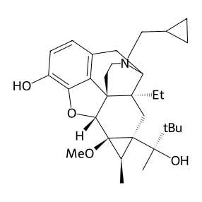 CC[C@]12C[C@]3([C@](C)(O)C(C)(C)C)[C@@H](C)[C@]3(OC)[C@@H]3Oc4c(O)ccc5c4[C@@]31CCN(CC1CC1)C2C5